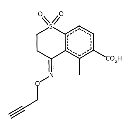 C#CCO/N=C1\CCS(=O)(=O)c2ccc(C(=O)O)c(C)c21